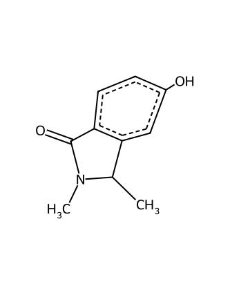 CC1c2cc(O)ccc2C(=O)N1C